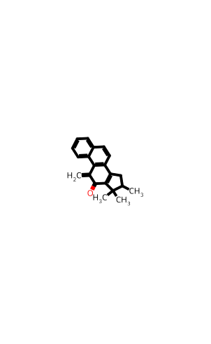 C=C1C(=O)C2=C(CC(C)C2(C)C)c2ccc3ccccc3c21